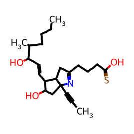 CC#CC12CC(O)C(C=CC(O)C(C)CCCC)C1CC(CCCC(O)=S)=N2